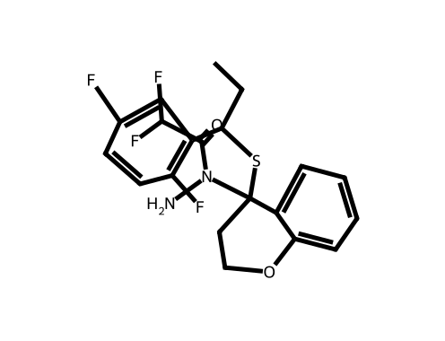 CCC(SC1(N(N)C(=O)C(F)F)CCOc2ccccc21)c1cc(F)ccc1F